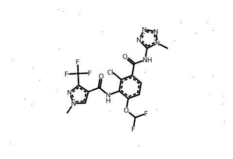 Cn1cc(C(=O)Nc2c(OC(F)F)ccc(C(=O)Nc3nnnn3C)c2Cl)c(C(F)(F)F)n1